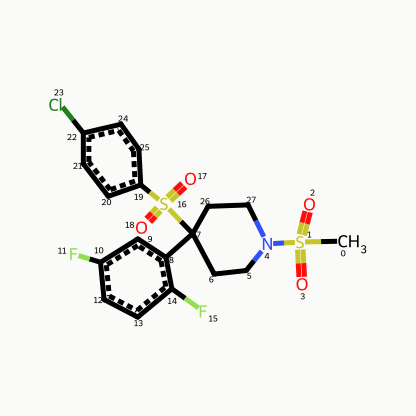 CS(=O)(=O)N1CCC(c2cc(F)ccc2F)(S(=O)(=O)c2ccc(Cl)cc2)CC1